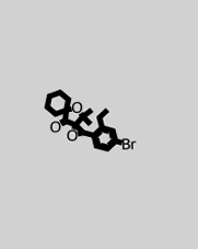 CCc1cc(Br)ccc1C1OC12C(=O)C1(CCCCC1)OC2(C)C